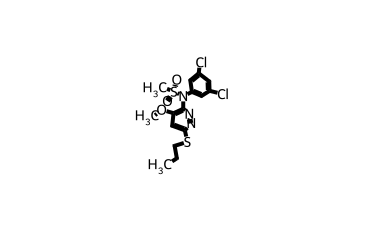 CCCSc1cc(OC)c(N(c2cc(Cl)cc(Cl)c2)S(C)(=O)=O)nn1